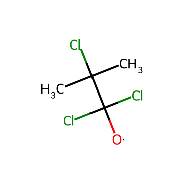 CC(C)(Cl)C([O])(Cl)Cl